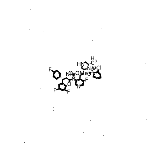 COC(=O)N(C(=O)[C@@H](N)[C@@H](c1ccc(F)cc1)c1cc(F)cc(F)c1)c1cncc(F)c1CC[C@H]1CNC[C@H](C)N1S(=O)(=O)c1ccccc1Cl